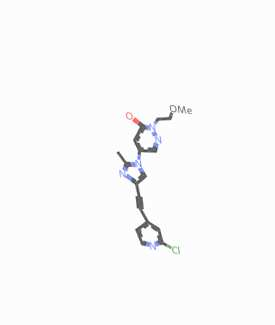 COCCn1ncc(-n2cc(C#Cc3ccnc(Cl)c3)nc2C)cc1=O